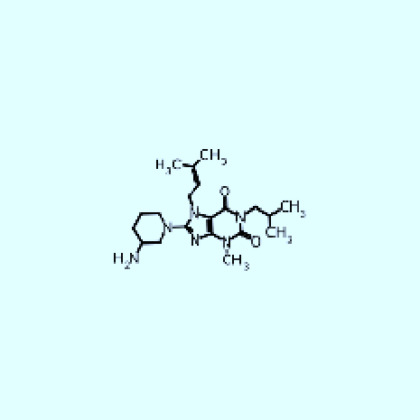 CC(C)=CCn1c(N2CCCC(N)C2)nc2c1c(=O)n(CC(C)C)c(=O)n2C